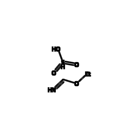 CCOC=N.O=[SH](=O)O